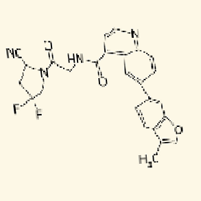 Cc1coc2cc(-c3ccc4nccc(C(=O)NCC(=O)N5CC(F)(F)CC5C#N)c4c3)ccc12